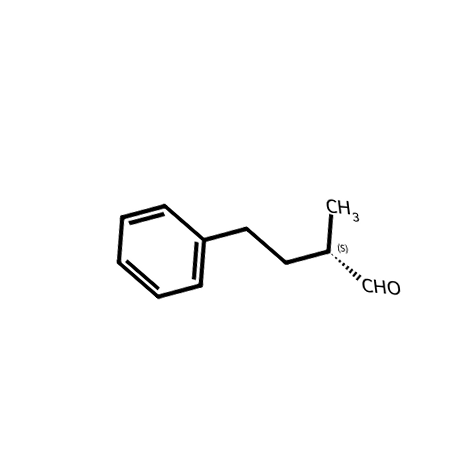 C[C@H](C=O)CCc1ccccc1